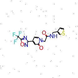 O=C(Cn1ccc(-c2noc(C(F)(F)F)n2)cc1=O)NCc1ccsc1